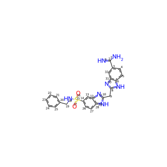 N=C(N)c1ccc2[nH]c(Cc3nc4cc(S(=O)(=O)NCc5ccccc5)ccc4[nH]3)nc2c1